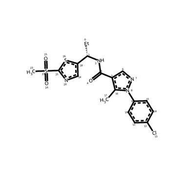 CC[C@H](NC(=O)c1cnn(-c2ccc(Cl)cc2)c1C)c1cnc(S(C)(=O)=O)s1